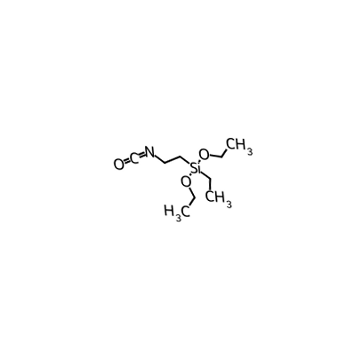 CCO[Si](CC)(CCN=C=O)OCC